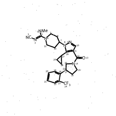 CNC(=NC#N)N1CCC(n2ncc(C(=O)N3CC[C@@H](c4ccccc4C(F)(F)F)C3)c2C2CC2)CC1